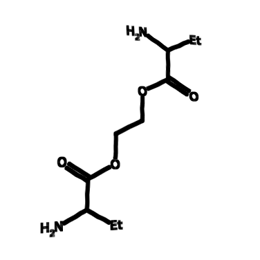 CCC(N)C(=O)OCCOC(=O)C(N)CC